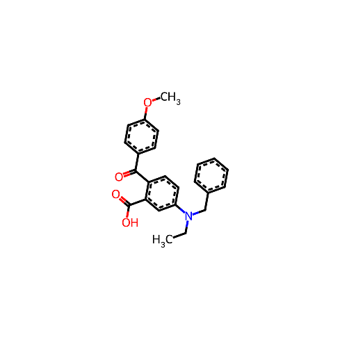 CCN(Cc1ccccc1)c1ccc(C(=O)c2ccc(OC)cc2)c(C(=O)O)c1